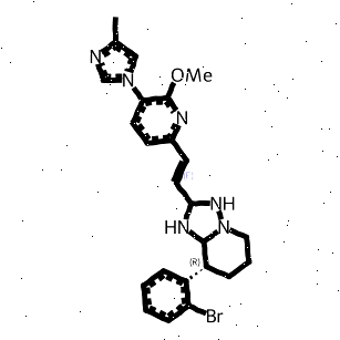 COc1nc(/C=C/C2NC3[C@@H](c4ccccc4Br)CCCN3N2)ccc1-n1cnc(C)c1